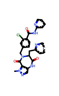 Cn1ncc2c1C(=O)N(Cc1ccc(C(=O)Nc3ccccn3)c(Cl)c1)C(Cc1ccccn1)C(=O)N2